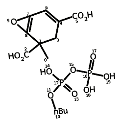 CC1(C(=O)O)CC(C(=O)O)=CC2=C1O2.CCCCOP(=O)(O)OP(=O)(O)O